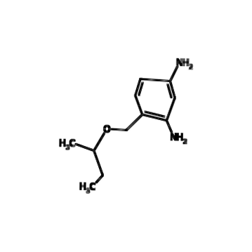 CCC(C)OCc1ccc(N)cc1N